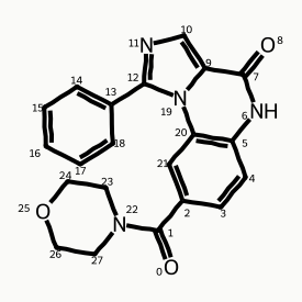 O=C(c1ccc2[nH]c(=O)c3cnc(-c4ccccc4)n3c2c1)N1CCOCC1